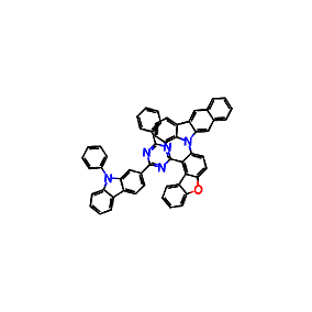 c1ccc(-c2nc(-c3ccc4c5ccccc5n(-c5ccccc5)c4c3)nc(-c3c(-n4c5ccccc5c5cc6ccccc6cc54)ccc4oc5ccccc5c34)n2)cc1